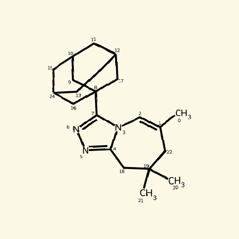 CC1=Cn2c(nnc2C23CC4CC(CC(C4)C2)C3)CC(C)(C)C1